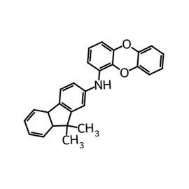 CC1(C)c2cc(Nc3cccc4c3Oc3ccccc3O4)ccc2C2C=CC=CC21